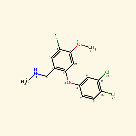 CNCc1cc(F)c(OC)cc1Oc1ccc(Cl)c(Cl)c1